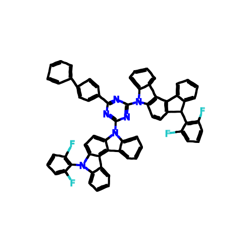 Fc1cccc(F)c1C1c2ccccc2-c2c1ccc1c2c2ccccc2n1-c1nc(-c2ccc(-c3ccccc3)cc2)nc(-n2c3ccccc3c3c4c5ccccc5n(-c5c(F)cccc5F)c4ccc32)n1